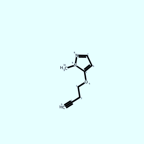 C#CCCOc1c[c]nn1C